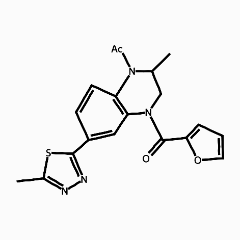 CC(=O)N1c2ccc(-c3nnc(C)s3)cc2N(C(=O)c2ccco2)CC1C